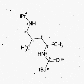 CC(CNC(C)C)CC(C)NC(=O)C(C)(C)C